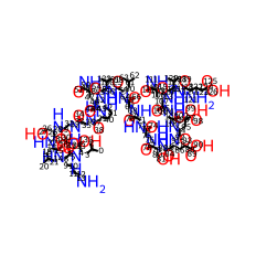 CC(C)C[C@H](NC(=O)[C@H](CCCCN)NC(=O)[C@H](CC(C)C)NC(=O)[C@H](CO)NC(=O)CNC(=O)CNC(=O)[C@@H]1CCCN1C(=O)[C@H](CCC(N)=O)NC(=O)[C@@H](NC(=O)[C@H](CC(C)C)NC(=O)CNC(=O)CNC(=O)CNC(=O)[C@H](CO)NC(=O)[C@H](CCC(=O)O)NC(=O)[C@H](CCC(=O)O)NC(=O)CNC(=O)[C@H](CCC(N)=O)NC(=O)[C@@H](NC(=O)[C@@H](N)CCC(=O)O)C(C)C)C(C)C)C(=O)O